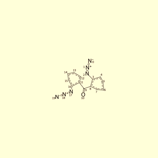 [N-]=[N+]=Nc1ccccc1C(=O)c1ccccc1N=[N+]=[N-]